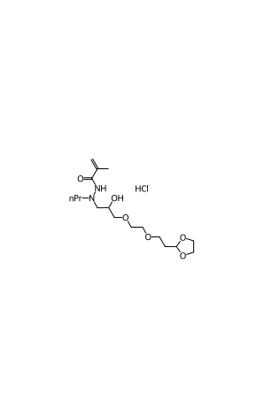 C=C(C)C(=O)NN(CCC)CC(O)COCCOCCC1OCCO1.Cl